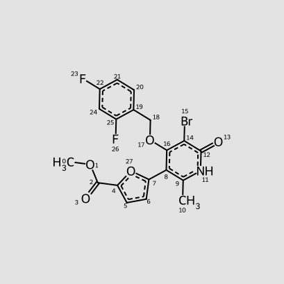 COC(=O)c1ccc(-c2c(C)[nH]c(=O)c(Br)c2OCc2ccc(F)cc2F)o1